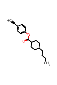 C#Cc1ccc(OC(=O)C2CCC(CCCC)CC2)cc1